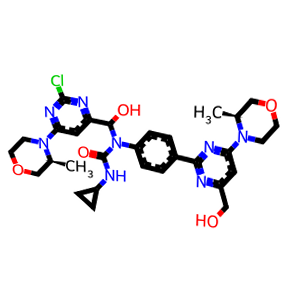 C[C@H]1COCCN1c1cc(C(O)N(C(=O)NC2CC2)c2ccc(-c3nc(CO)cc(N4CCOC[C@@H]4C)n3)cc2)nc(Cl)n1